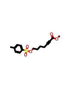 COC(=O)C#CCCCCOS(=O)(=O)c1ccc(C)cc1